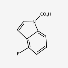 O=C(O)n1ccc2c(F)cccc21